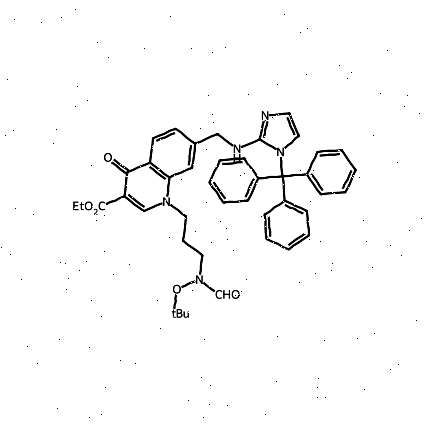 CCOC(=O)c1cn(CCCN(C=O)OC(C)(C)C)c2cc(CNc3nccn3C(c3ccccc3)(c3ccccc3)c3ccccc3)ccc2c1=O